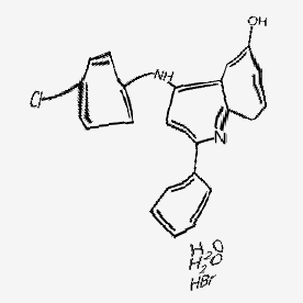 Br.O.O.Oc1ccc2nc(-c3ccccc3)cc(Nc3ccc(Cl)cc3)c2c1